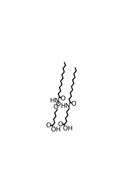 CCCCCCCCCCCC(=O)NCCCCCC(=O)O.CCCCCCCCCCCC(=O)NOOCCCCCC(=O)O